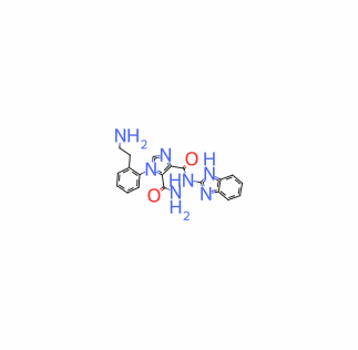 NCCc1ccccc1-n1cnc(C(=O)Nc2nc3ccccc3[nH]2)c1C(N)=O